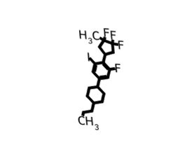 CCCC1CCC(c2cc(F)c(C3CC(C)(F)C(F)(F)C3)c(I)c2)CC1